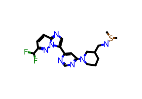 CS(C)=NCC1CCCN(c2cc(-c3cnc4ccc(C(F)F)nn34)ncn2)C1